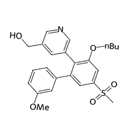 CCCCOc1cc(S(C)(=O)=O)cc(-c2cccc(OC)c2)c1-c1cncc(CO)c1